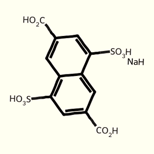 O=C(O)c1cc(S(=O)(=O)O)c2cc(C(=O)O)cc(S(=O)(=O)O)c2c1.[NaH]